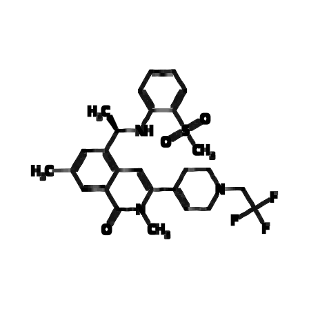 Cc1cc([C@@H](C)Nc2ccccc2S(C)(=O)=O)c2cc(C3=CCN(CC(F)(F)F)CC3)n(C)c(=O)c2c1